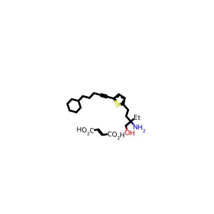 CCC(N)(CO)CCc1ccc(C#CCCCC2CCCCC2)s1.O=C(O)C=CC(=O)O